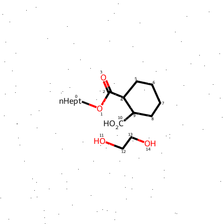 CCCCCCCOC(=O)C1CCCCC1C(=O)O.OCCO